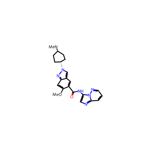 CN[C@H]1CC[C@H](n2cc3cc(C(=O)Nc4cnc5cccnn45)c(OC)cc3n2)CC1